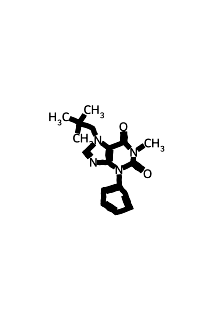 Cn1c(=O)c2c(ncn2CC(C)(C)C)n(-c2ccccc2)c1=O